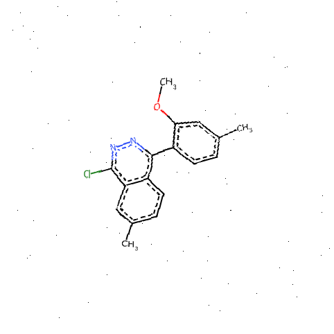 COc1cc(C)ccc1-c1nnc(Cl)c2cc(C)ccc12